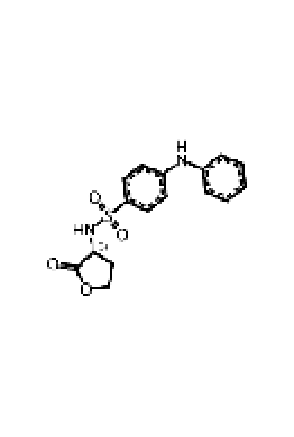 O=C1OCC[C@@H]1NS(=O)(=O)c1ccc(Nc2ccccc2)cc1